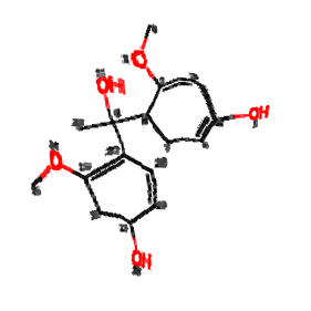 COC1=CC(O)=CCC1C(C)(O)C1=C(OC)CC(O)C=C1